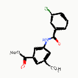 COC(=O)c1cc(NC(=O)c2cccc(Cl)c2)cc(C(=O)O)c1